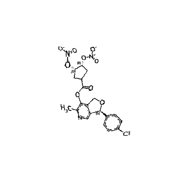 Cc1ncc2c(c1OC(=O)C1C[C@H](O[N+](=O)[O-])[C@H](O[N+](=O)[O-])C1)CO[C@H]2c1ccc(Cl)cc1